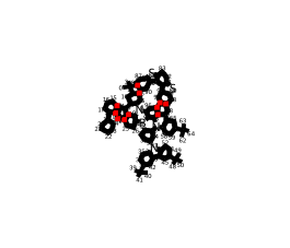 CC(C)(C)c1ccc(N2c3cc(-n4c5ccccc5c5ccccc54)ccc3B3c4ccc(-n5c6ccc(C(C)(C)C)cc6c6cc(C(C)(C)C)ccc65)cc4N(c4ccc(C(C)(C)C)cc4-c4ccccc4)c4cc(-c5ccc6sc7ccc8sc9ccccc9c8c7c6c5)cc2c43)c(-c2ccccc2)c1